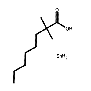 CCCCCCC(C)(C)C(=O)O.[SnH2]